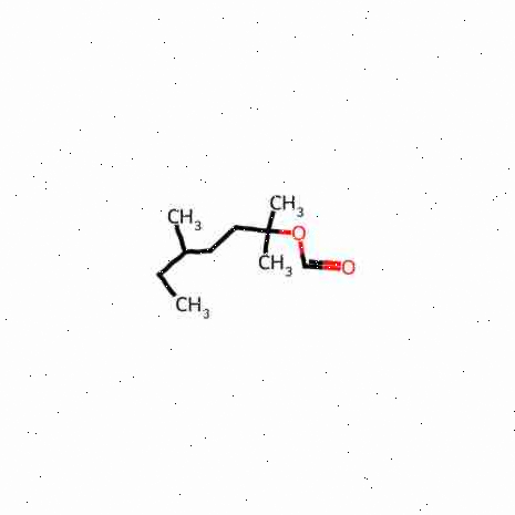 CCC(C)CCC(C)(C)OC=O